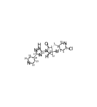 O=C1[C@H](Cc2ccc(Cl)nc2)[C@@H]2C[C@@H]2N1c1nc(-c2ccncc2)n[nH]1